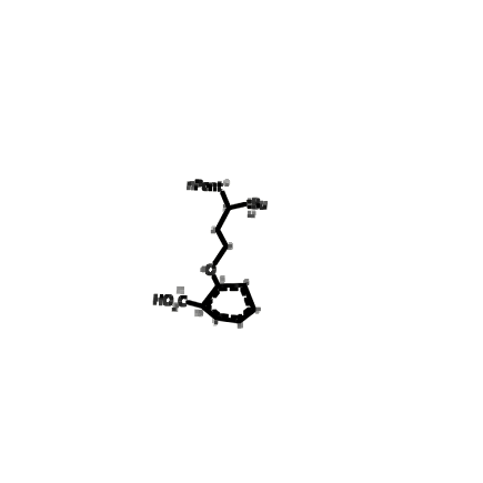 CCCCCC(CCOc1ccccc1C(=O)O)C(C)(C)C